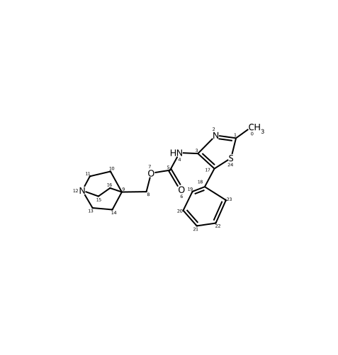 Cc1nc(NC(=O)OCC23CCN(CC2)CC3)c(-c2ccccc2)s1